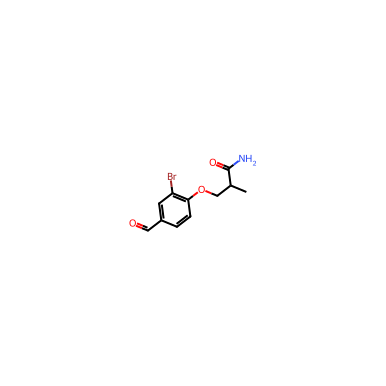 CC(COc1ccc(C=O)cc1Br)C(N)=O